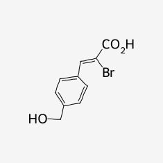 O=C(O)C(Br)=Cc1ccc(CO)cc1